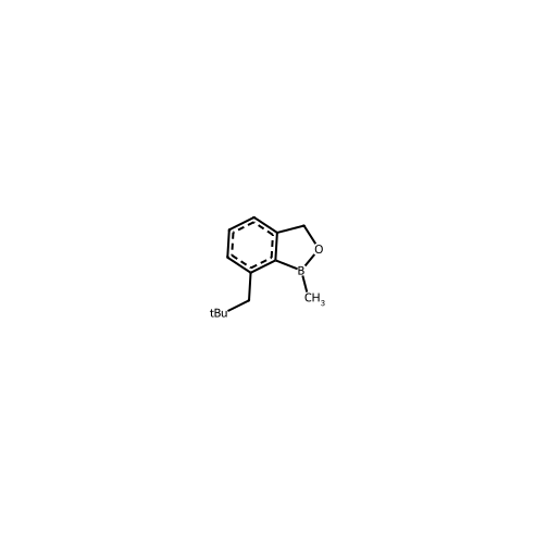 CB1OCc2cccc(CC(C)(C)C)c21